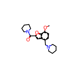 COc1ccc(CN2CCCCC2)c2cc(C(=O)N3CCCCC3)oc12